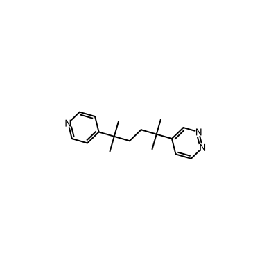 CC(C)(CCC(C)(C)c1ccnnc1)c1ccncc1